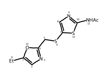 CCc1cnc(CSc2cnc(NC(C)=O)s2)o1